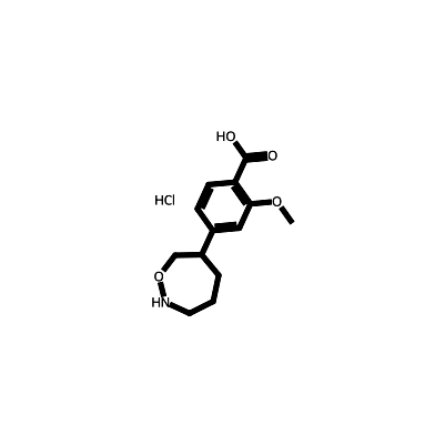 COc1cc(C2CCCNOC2)ccc1C(=O)O.Cl